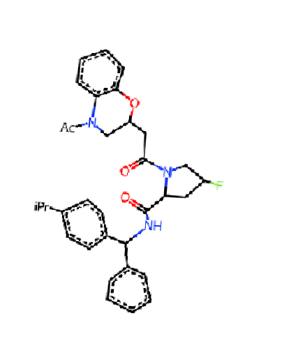 CC(=O)N1CC(CC(=O)N2CC(F)CC2C(=O)NC(c2ccccc2)c2ccc(C(C)C)cc2)Oc2ccccc21